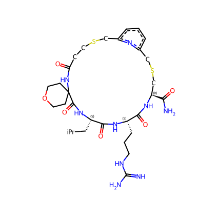 CC(C)C[C@@H]1NC(=O)C2(CCOCC2)NC(=O)CCSCc2cccc(n2)CSC[C@@H](C(N)=O)NC(=O)[C@H](CCCNC(=N)N)NC1=O